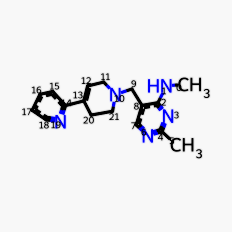 CNc1nc(C)ncc1CN1CC=C(c2ccccn2)CC1